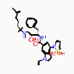 CCn1ccc2c(N3CCCS3(O)O)cc(C(=O)N[C@@H](Cc3ccccc3)[C@H](O)CNC(C)(C)CCCC(C)C)cc21